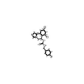 Fc1ccc(COC(=S)SC(Cn2ccnc2)c2c(Cl)cc(Cl)cc2Cl)cc1